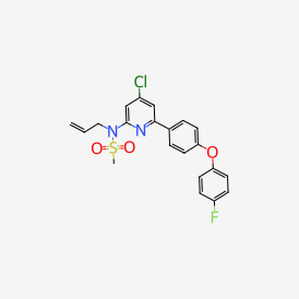 C=CCN(c1cc(Cl)cc(-c2ccc(Oc3ccc(F)cc3)cc2)n1)S(C)(=O)=O